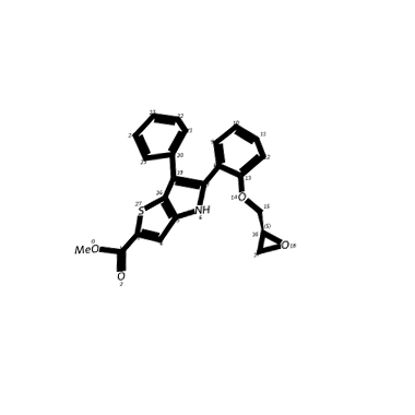 COC(=O)c1cc2[nH]c(-c3ccccc3OC[C@@H]3CO3)c(-c3ccccc3)c2s1